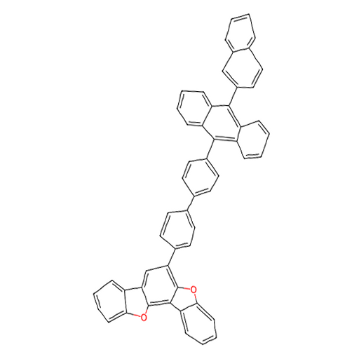 c1ccc2cc(-c3c4ccccc4c(-c4ccc(-c5ccc(-c6cc7c8ccccc8oc7c7c6oc6ccccc67)cc5)cc4)c4ccccc34)ccc2c1